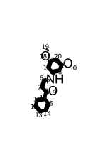 COc1cc(N/C=C\C(=O)c2ccccc2)cc(OC)c1